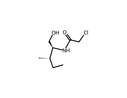 CC[C@H](C)[C@@H](CO)NC(=O)CCl